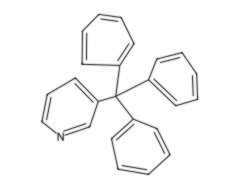 c1ccc(C(c2ccccc2)(c2ccccc2)c2cccnc2)cc1